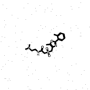 Cc1ccccc1-c1nc(CS(=O)(=O)CC(=O)NCCN(C)C)c(C)o1